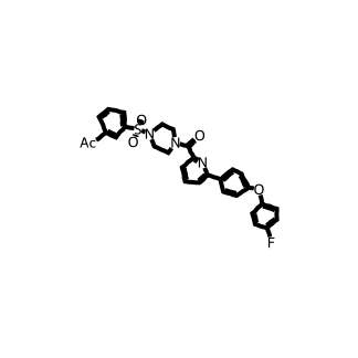 CC(=O)c1cccc(S(=O)(=O)N2CCN(C(=O)c3cccc(-c4ccc(Oc5ccc(F)cc5)cc4)n3)CC2)c1